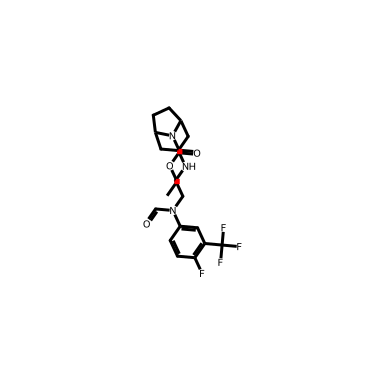 CCOC(=O)N1C2CCC1CC(NCCN(C=O)c1ccc(F)c(C(F)(F)F)c1)C2